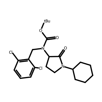 CC(C)(C)OC(=O)N(Cc1c(Cl)cccc1Cl)C1CCN(C2CCCCC2)C1=O